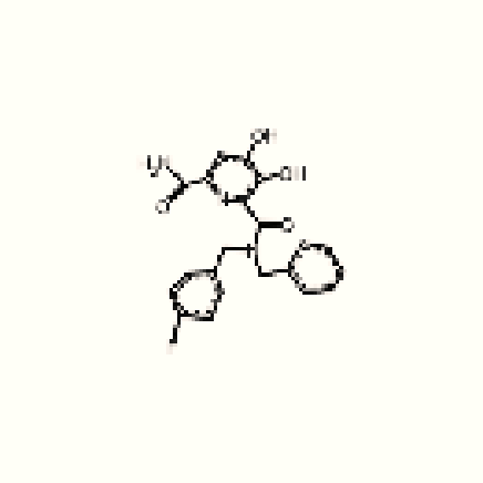 NC(=O)c1cc(O)c(O)c(C(=O)N(Cc2ccccc2)Cc2ccc(F)cc2)n1